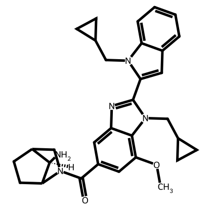 COc1cc(C(=O)N2CC3CCC2[C@@H]3N)cc2nc(-c3cc4ccccc4n3CC3CC3)n(CC3CC3)c12